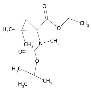 CCOC(=O)C1(N(C)C(=O)OC(C)(C)C)CC1(C)C